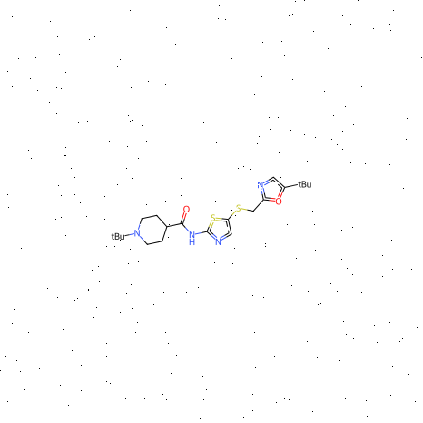 CC(C)(C)c1cnc(CSc2cnc(NC(=O)C3CCN(C(C)(C)C)CC3)s2)o1